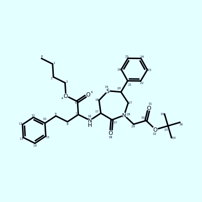 CCCCOC(=O)C(CCc1ccccc1)NC1CSC(c2ccccc2)CN(CC(=O)OC(C)(C)C)C1=O